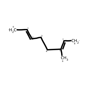 [CH2]C=CCCC(C)=C[CH2]